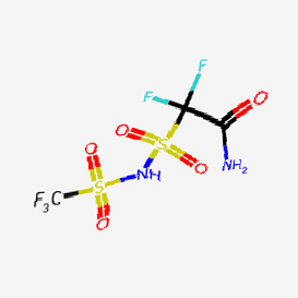 NC(=O)C(F)(F)S(=O)(=O)NS(=O)(=O)C(F)(F)F